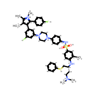 Cc1c(C(=O)O)c(-c2cc(F)cc(N3CCN(c4ccc(NS(=O)(=O)c5ccc(N[C@H](CCN(C)C)CSc6ccccc6)c([N+](=O)[O-])c5)cc4)CC3)c2)c(-c2ccc(F)cc2)n1C